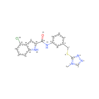 Cn1cnnc1SCc1cccc(NC(=O)c2cc3c(Cl)cccc3[nH]2)c1